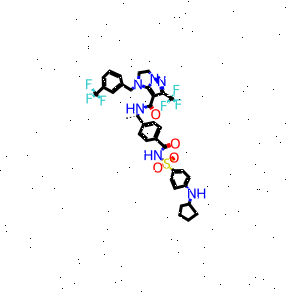 C[C@H](NC(=O)c1c(C(F)(F)F)nn2c1N(Cc1cccc(C(F)(F)F)c1)CC2)c1ccc(C(=O)NS(=O)(=O)c2ccc(NC3CCCC3)cc2)cc1